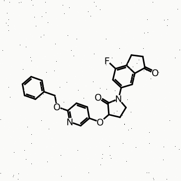 O=C1CCc2c(F)cc(N3CCC(Oc4ccc(OCc5ccccc5)nc4)C3=O)cc21